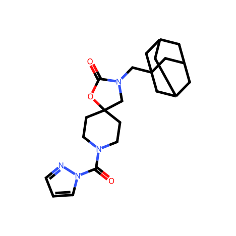 O=C1OC2(CCN(C(=O)n3cccn3)CC2)CN1CC12CC3CC(CC(C3)C1)C2